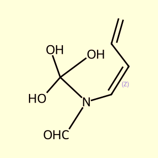 C=C/C=C\N(C=O)C(O)(O)O